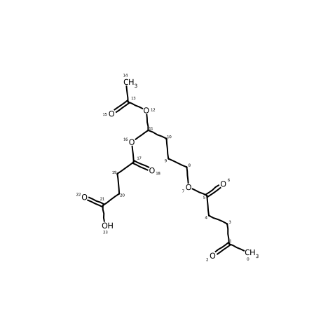 CC(=O)CCC(=O)OCCCC(OC(C)=O)OC(=O)CCC(=O)O